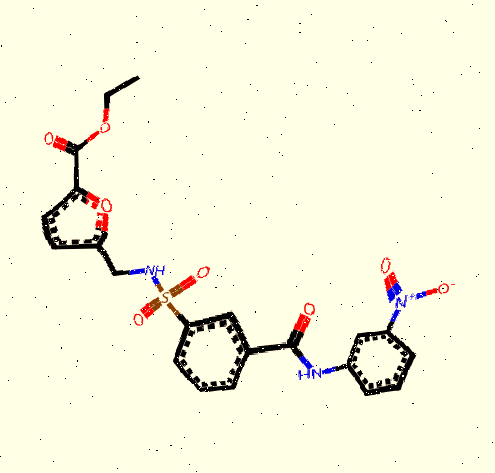 CCOC(=O)c1ccc(CNS(=O)(=O)c2cccc(C(=O)Nc3cccc([N+](=O)[O-])c3)c2)o1